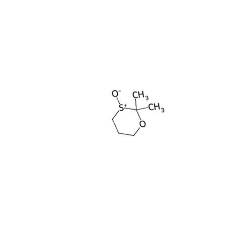 CC1(C)OCCC[S+]1[O-]